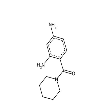 Nc1ccc(C(=O)N2CCCCC2)c(N)c1